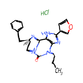 CCCN1C(=O)N2C[C@@H](Cc3ccccc3)N=C2c2[nH]c(-c3ccoc3)nc21.Cl